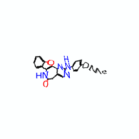 COc1ccc(Nc2ncc3c(n2)-c2oc4ccccc4c2NC(=O)C3)cc1